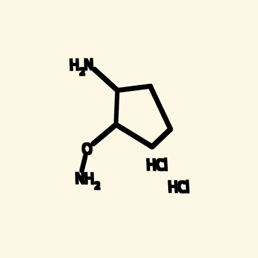 Cl.Cl.NOC1CCCC1N